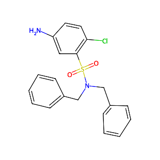 Nc1ccc(Cl)c(S(=O)(=O)N(Cc2ccccc2)Cc2ccccc2)c1